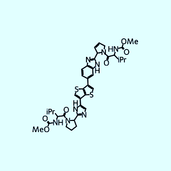 COC(=O)NC(C(=O)N1CC=CC1c1nc2ccc(-c3csc4c(-c5cnc(C6CCCN6C(=O)C(NC(=O)OC)C(C)C)[nH]5)csc34)cc2[nH]1)C(C)C